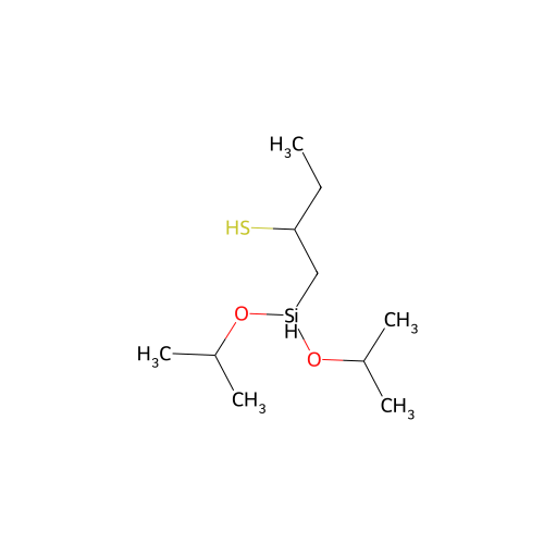 CCC(S)C[SiH](OC(C)C)OC(C)C